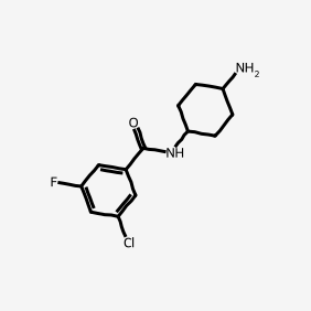 NC1CCC(NC(=O)c2cc(F)cc(Cl)c2)CC1